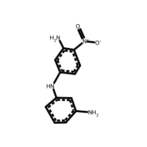 Nc1cccc(Nc2ccc([N+](=O)[O-])c(N)c2)c1